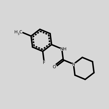 Cc1ccc(NC(=O)N2CCCCC2)c(F)c1